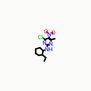 CCC1CCCCC1Nc1nc(C)c([N+](=O)[O-])c(Cl)n1